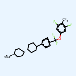 CCCC[C@H]1CC[C@H](C2CCC(c3ccc(C(F)(F)Oc4cc(F)c(C(F)(F)F)c(F)c4)cc3)CC2)CC1